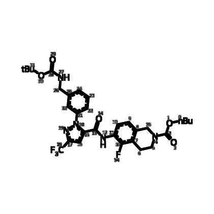 CCCCOC(=O)N1CCc2c(ccc(NC(=O)c3cc(C(F)(F)F)nn3-c3cccc(CNC(=O)OC(C)(C)C)c3)c2F)C1